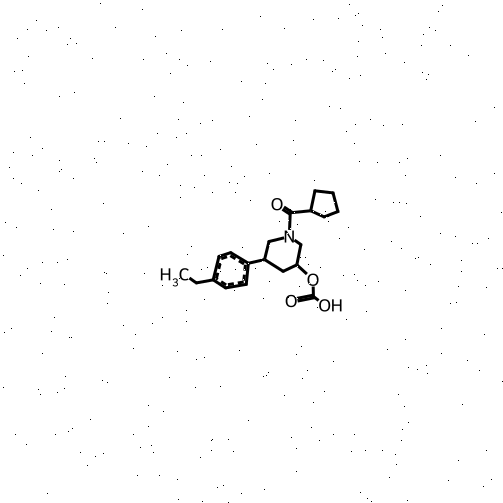 CCc1ccc(C2CC(OC(=O)O)CN(C(=O)C3CCCC3)C2)cc1